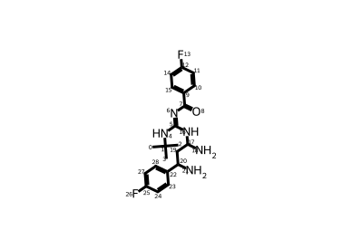 CC(C)(C)N/C(=N/C(=O)c1ccc(F)cc1)NC(N)CC(N)c1ccc(F)cc1